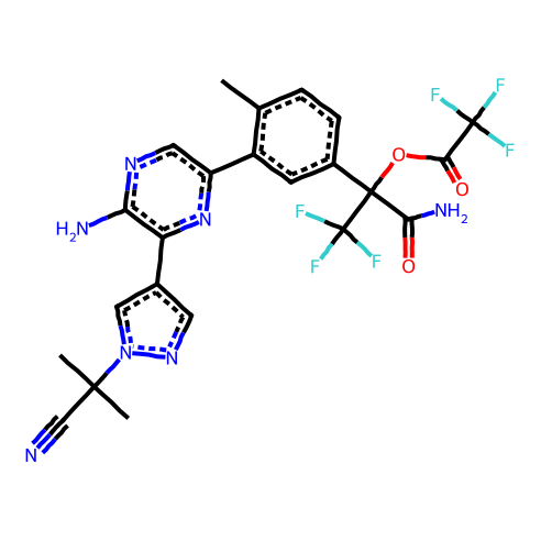 Cc1ccc(C(OC(=O)C(F)(F)F)(C(N)=O)C(F)(F)F)cc1-c1cnc(N)c(-c2cnn(C(C)(C)C#N)c2)n1